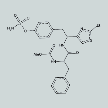 CCc1nc(C(Cc2ccc(OS(N)(=O)=O)cc2)NC(=O)C(Cc2ccccc2)NC(=O)OC)cs1